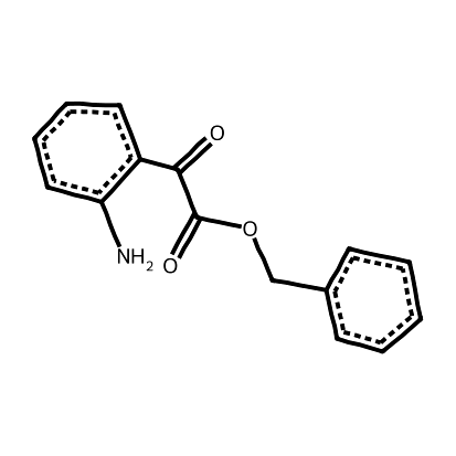 Nc1ccccc1C(=O)C(=O)OCc1ccccc1